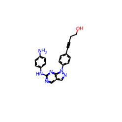 Nc1ccc(Nc2ncc3cnn(-c4ccc(C#CCCO)cc4)c3n2)cc1